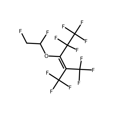 FCC(F)OC(=C(C(F)(F)F)C(F)(F)F)C(F)(F)C(F)(F)F